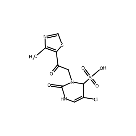 Cc1ncsc1C(=O)CN1C(=O)NC=C(Cl)C1S(=O)(=O)O